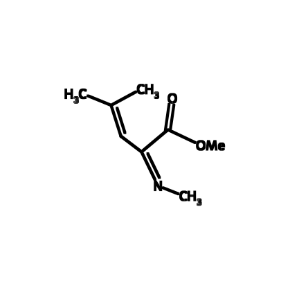 C/N=C(/C=C(C)C)C(=O)OC